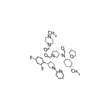 CN1CCN(C(=O)[C@@H]2C[C@H](N(C(=O)[C@@H]3CCCO3)[C@H]3CC[C@@H](C)CC3)CN2C(=O)[C@@H]2CN(c3ccccn3)C[C@H]2c2ccc(F)cc2F)CC1